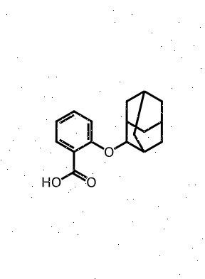 O=C(O)c1ccccc1OC1C2CC3CC(C2)CC1C3